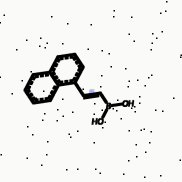 OB(O)/C=C/c1cccc2ccccc12